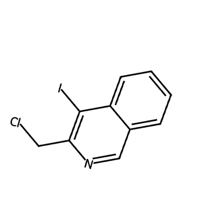 ClCc1ncc2ccccc2c1I